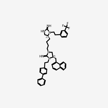 N=C1NC[C@H](CCCCN2C[C@@H](Cc3cccc4ccccc34)N(CCc3ccc(-c4ccccc4)cc3)C2=N)N1CCc1cccc(C(F)(F)F)c1